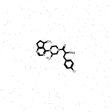 CNC(Cc1ccc(Cl)cc1)C(=O)N1CCN(c2ncnc3c2C(C)CC3)C(C)C1